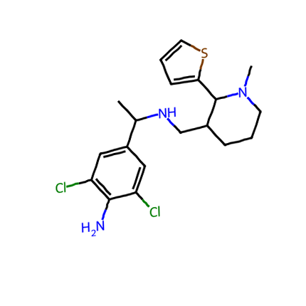 CC(NCC1CCCN(C)C1c1cccs1)c1cc(Cl)c(N)c(Cl)c1